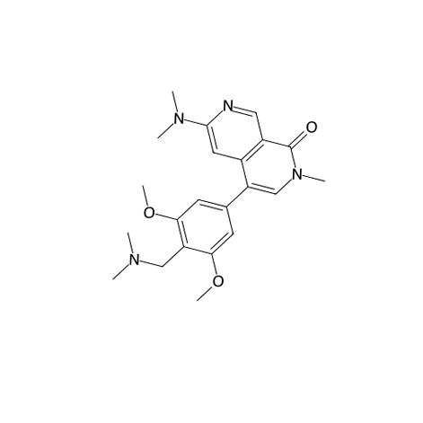 COc1cc(-c2cn(C)c(=O)c3cnc(N(C)C)cc23)cc(OC)c1CN(C)C